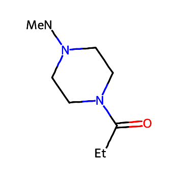 CCC(=O)N1CCN(NC)CC1